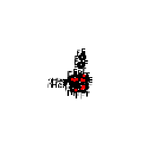 CCCCCC[PH2+]CCCCCC.CCc1c(F)c(F)c(F)c2c(F)c(F)c(F)[c]([Al-]([c]3c(F)c(F)c(F)c4c(F)c(F)c(F)c(CC)c34)([c]3c(F)c(F)c(F)c4c(F)c(F)c(F)c(CC)c34)[c]3c(F)c(F)c(F)c4c(F)c(F)c(F)c(CC)c34)c12.Fc1ccc(-c2c(F)c(F)c(F)c(F)c2F)c(F)c1F